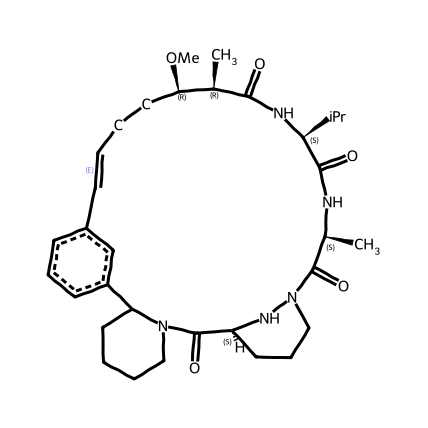 CO[C@@H]1CC/C=C/c2cccc(c2)C2CCCCN2C(=O)[C@@H]2CCCN(N2)C(=O)[C@H](C)NC(=O)[C@H](C(C)C)NC(=O)[C@@H]1C